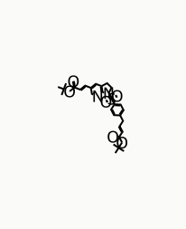 CC(C)(C)OC(=O)/C=C/Cc1ccc(S(=O)(=O)N2CCc3cc(/C=C/C(=O)OC(C)(C)C)cnc32)cc1